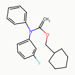 C=C(OCC1CCCCC1)N(c1ccccc1)c1cccc(F)c1